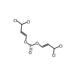 O=[PH](OC=CC(Cl)Cl)OC=CC(Cl)Cl